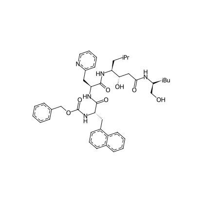 CC[C@H](C)[C@@H](CO)NC(=O)C[C@H](O)[C@H](CC(C)C)NC(=O)[C@H](Cc1ccccn1)NC(=O)[C@H](Cc1cccc2ccccc12)NC(=O)OCc1ccccc1